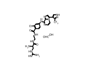 CCc1cc(Nc2nccn3c(-c4c[nH]nc4C(F)(F)F)cnc23)ccc1C(=O)NCCNC(=O)C(N)CNC(=N)N.O=CO